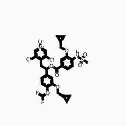 CS(=O)(=O)Nc1ccc(C(=O)OC(Cc2c(Cl)c[n+]([O-])cc2Cl)c2ccc(OC(F)F)c(OCC3CC3)c2)cc1OCC1CC1